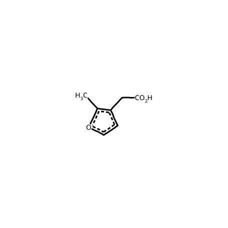 Cc1occc1CC(=O)O